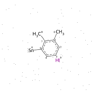 Cc1ccc[c]([Sn])c1C.I